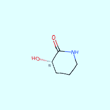 O=C1NCCC[C@@H]1O